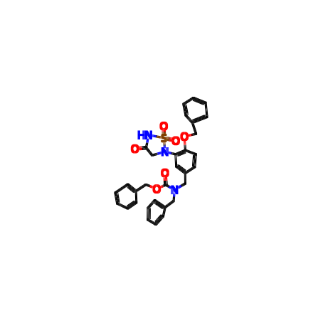 O=C1CN(c2cc(CN(Cc3ccccc3)C(=O)OCc3ccccc3)ccc2OCc2ccccc2)S(=O)(=O)N1